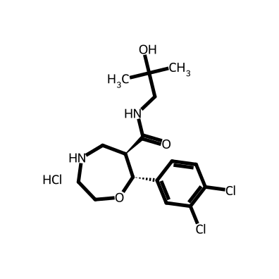 CC(C)(O)CNC(=O)[C@@H]1CNCCO[C@H]1c1ccc(Cl)c(Cl)c1.Cl